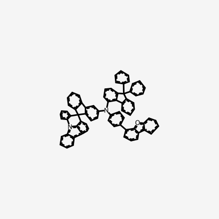 c1ccc(C2(c3ccccc3)c3ccccc3-c3c(N(c4ccc(-c5cccc6c5oc5ccccc56)cc4)c4ccc5c(c4)-c4ccccc4C54c5ccccc5-n5c6ccccc6c6cccc4c65)cccc32)cc1